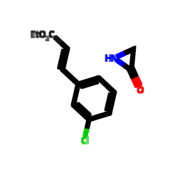 CCOC(=O)C=Cc1cccc(Cl)c1.O=C1CN1